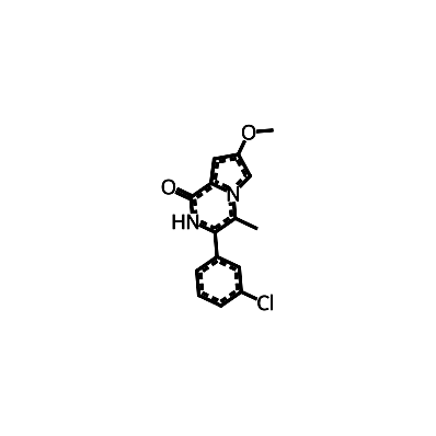 COc1cc2c(=O)[nH]c(-c3cccc(Cl)c3)c(C)n2c1